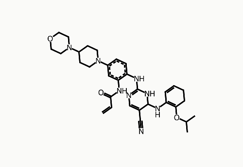 C=CC(=O)Nc1cc(N2CCC(N3CCOCC3)CC2)ccc1NC1=NC=C(C#N)C(NC2=C(OC(C)C)CCC=C2)N1